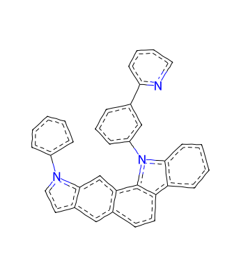 c1ccc(-n2ccc3cc4ccc5c6ccccc6n(-c6cccc(-c7ccccn7)c6)c5c4cc32)cc1